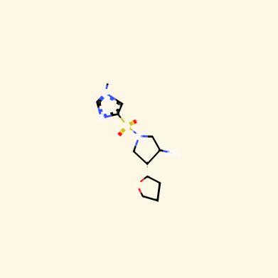 Cn1cnc(S(=O)(=O)N2CC(N)C([C@@H]3CCCO3)C2)c1